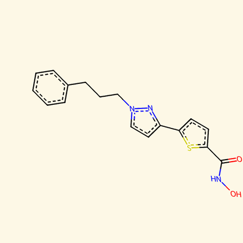 O=C(NO)c1ccc(-c2ccn(CCCc3ccccc3)n2)s1